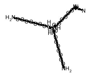 N#CC#Cn1cc(COCCOCCOCCOCCOCCC(=O)NC(CC(=O)NCCOCCOCCOCCOCCOCCOCCOCCN)CC(=O)NCCOCCOCCOCCOCCOCCOCCOCCN)nn1